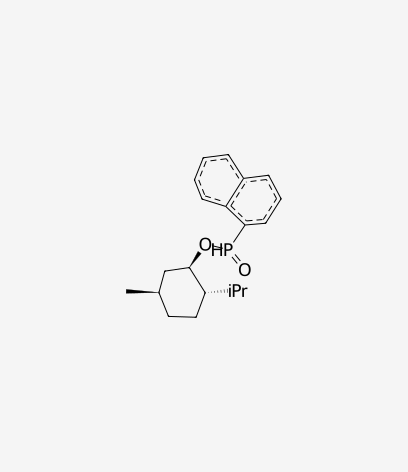 CC(C)[C@@H]1CC[C@@H](C)C[C@H]1O[PH](=O)c1cccc2ccccc12